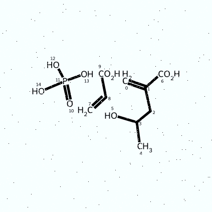 C=C(CC(C)O)C(=O)O.C=CC(=O)O.O=P(O)(O)O